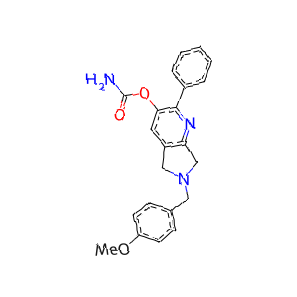 COc1ccc(CN2Cc3cc(OC(N)=O)c(-c4ccccc4)nc3C2)cc1